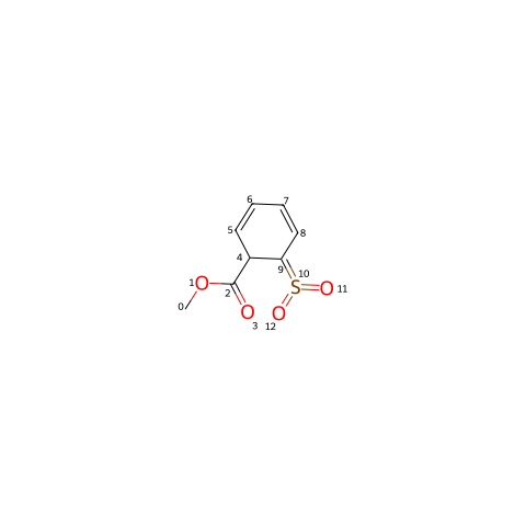 COC(=O)C1C=CC=CC1=S(=O)=O